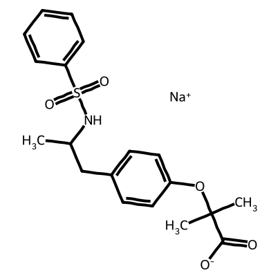 CC(Cc1ccc(OC(C)(C)C(=O)[O-])cc1)NS(=O)(=O)c1ccccc1.[Na+]